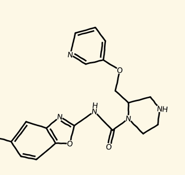 O=C(Nc1nc2cc(Cl)ccc2o1)N1CCNCC1COc1cccnc1